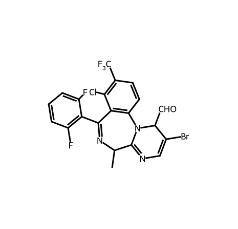 CC1N=C(c2c(F)cccc2F)c2c(ccc(C(F)(F)F)c2Cl)N2C1=NC=C(Br)C2C=O